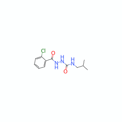 CC(C)CNC(=O)NNC(=O)c1ccccc1Cl